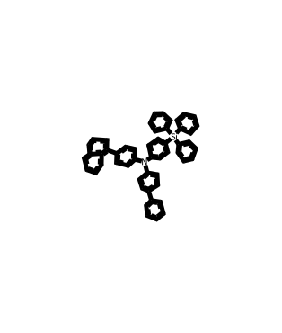 c1ccc(-c2ccc(N(c3ccc(-c4cccc5ccccc45)cc3)c3ccc([Si](c4ccccc4)(c4ccccc4)c4ccccc4)cc3)cc2)cc1